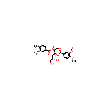 COc1ccc(C2OC[C@@H]3OC(c4ccc(C)c(C)c4)O[C@H]([C@H](O)CO)[C@@H]3O2)cc1OC